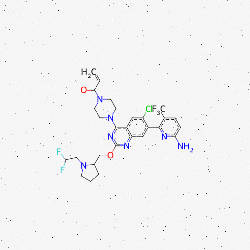 C=CC(=O)N1CCN(c2nc(OCC3CCCN3CC(F)F)nc3cc(-c4nc(N)ccc4C(F)(F)F)c(Cl)cc23)CC1